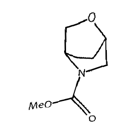 COC(=O)N1CC2CC1CO2